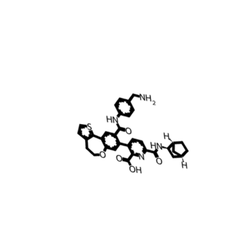 NCc1ccc(NC(=O)c2cc3c(cc2-c2ccc(C(=O)N[C@@H]4C[C@@H]5CC[C@H]4C5)nc2C(=O)O)OCCc2ccsc2-3)cc1